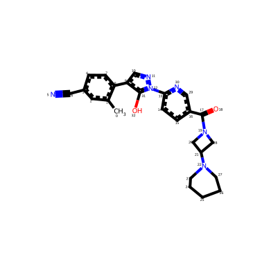 Cc1cc(C#N)ccc1-c1cnn(-c2ccc(C(=O)N3CC(N4CCCCC4)C3)cn2)c1O